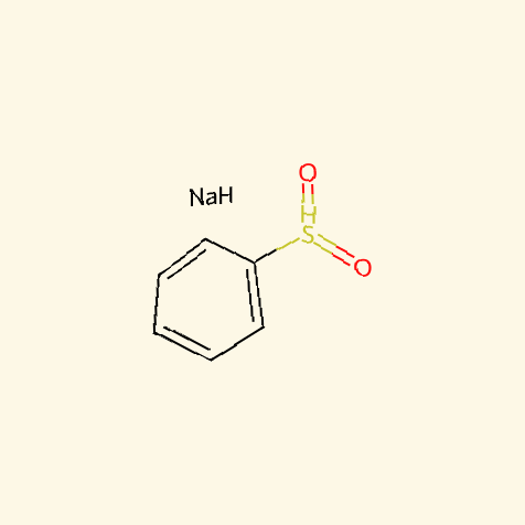 O=[SH](=O)c1ccccc1.[NaH]